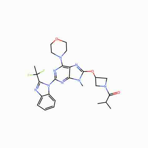 CC(C)C(=O)N1CC(Oc2nc3c(N4CCOCC4)nc(-n4c(C(C)(F)F)nc5ccccc54)nc3n2C)C1